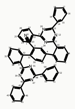 N#Cc1cc(-c2ccccc2-c2nc(-c3ccccc3)nc(-c3ccccc3)n2)ccc1-c1ccccc1-c1nc(-c2ccccc2)nc(-c2ccccc2)n1